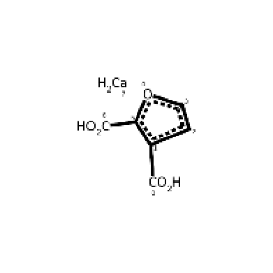 O=C(O)c1ccoc1C(=O)O.[CaH2]